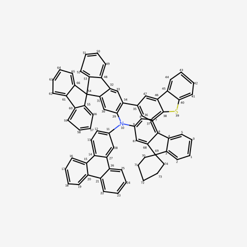 c1ccc2c(c1)-c1ccc(N(c3ccc4c5ccccc5c5ccccc5c4c3)c3cc4c(cc3-c3ccc5sc6ccccc6c5c3)-c3ccccc3C43c4ccccc4-c4ccccc43)cc1C21CCCCC1